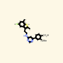 CSc1cc(-c2cc(NCCc3c(C)sc4c(C)cc(F)cc34)ncn2)ccc1C(=O)O